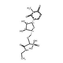 CCNC(=O)C(OC[C@H]1O[C@@H](n2ccc(=O)n(C)c2=O)[C@H](O)[C@@H]1O)P(=O)(O)O